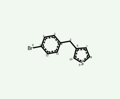 Brc1ccc(Cc2ccsc2)cc1